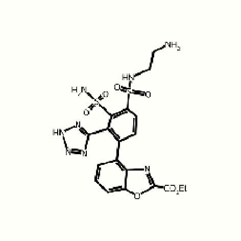 CCOC(=O)c1nc2c(-c3ccc(S(=O)(=O)NCCN)c(S(N)(=O)=O)c3-c3nn[nH]n3)cccc2o1